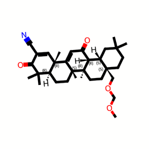 COCOC[C@]12CCC(C)(C)C[C@H]1[C@H]1C(=O)C=C3[C@@]4(C)C=C(C#N)C(=O)C(C)(C)[C@@H]4CC[C@@]3(C)[C@]1(C)CC2